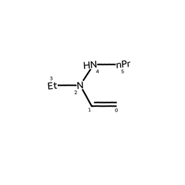 C=CN(CC)NCCC